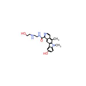 Cc1c2ccnc(C(=O)NCCNCCO)c2cc2c3cc(O)ccc3n(C)c12